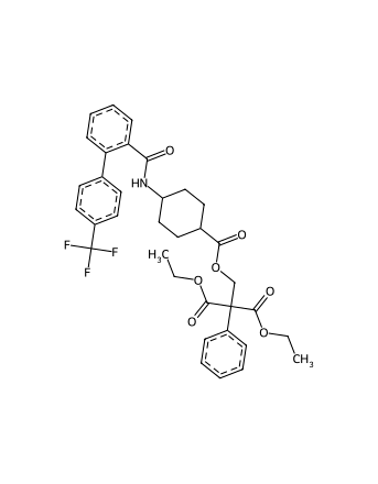 CCOC(=O)C(COC(=O)C1CCC(NC(=O)c2ccccc2-c2ccc(C(F)(F)F)cc2)CC1)(C(=O)OCC)c1ccccc1